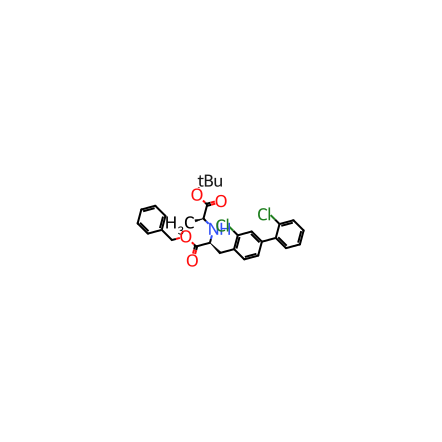 C[C@H](N[C@@H](Cc1ccc(-c2ccccc2Cl)cc1Cl)C(=O)OCc1ccccc1)C(=O)OC(C)(C)C